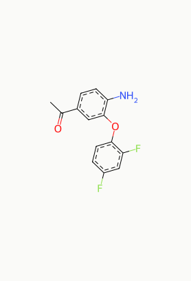 CC(=O)c1ccc(N)c(Oc2ccc(F)cc2F)c1